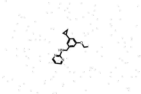 CCOc1cc(CNc2nc[c]cn2)cc(C2CC2)c1